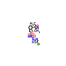 Cc1noc(C)c1-c1cccc2cc(S(=O)(=O)NC(=O)Nc3ncc(Br)s3)sc12